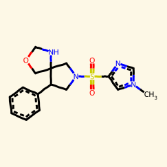 Cn1cnc(S(=O)(=O)N2CC(c3ccccc3)C3(COCN3)C2)c1